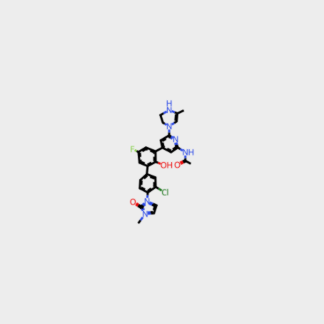 CC(=O)Nc1cc(-c2cc(F)cc(-c3ccc(-n4ccn(C)c4=O)c(Cl)c3)c2O)cc(N2C=C(C)NCC2)n1